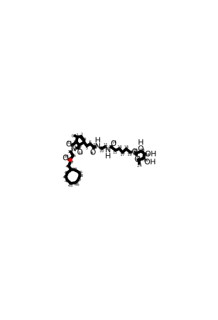 CC1C=CC(CCC(=O)NCCNC(=O)CCCCCO[C@@H]2OC(C)[C@H](O)[C@H](O)C2O)C2C(=O)N(CCC(=O)CCC3CCCCCCCCC3)C(=O)C12